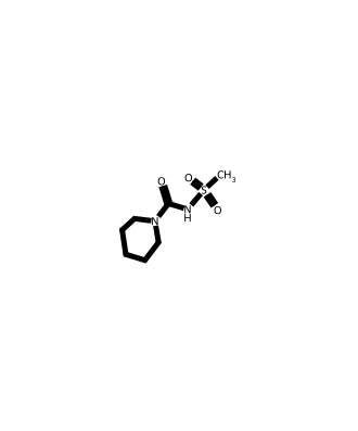 CS(=O)(=O)NC(=O)N1CCCCC1